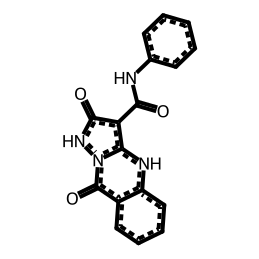 O=C(Nc1ccccc1)c1c(=O)[nH]n2c(=O)c3ccccc3[nH]c12